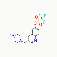 CN1CCN(Cc2cnc3ccc(OS(=O)(=O)C(F)(F)F)cc3c2)CC1